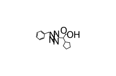 O=C(O)C(c1nnn(Cc2ccccc2)n1)C1CCCC1